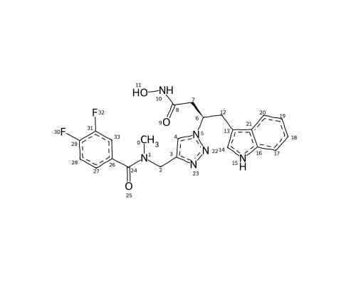 CN(Cc1cn([C@@H](CC(=O)NO)Cc2c[nH]c3ccccc23)nn1)C(=O)c1ccc(F)c(F)c1